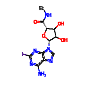 CCNC(=O)[C@H]1O[C@@H](n2cnc3c(N)nc(I)nc32)C(O)C1O